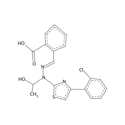 CC(O)N(N=Cc1ccccc1C(=O)O)c1nc(-c2ccccc2Cl)cs1